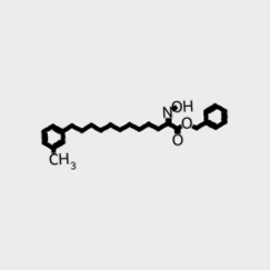 Cc1cccc(CCCCCCCCCCC(=NO)C(=O)OCc2ccccc2)c1